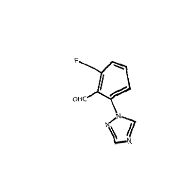 O=Cc1c(F)cccc1-n1cncn1